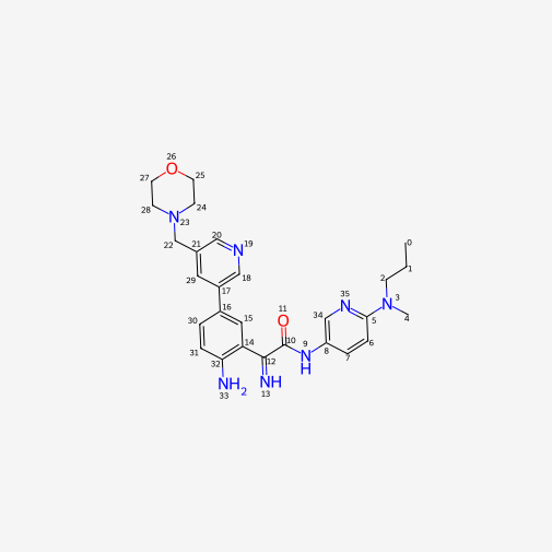 CCCN(C)c1ccc(NC(=O)C(=N)c2cc(-c3cncc(CN4CCOCC4)c3)ccc2N)cn1